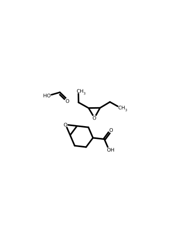 CCC1OC1CC.O=C(O)C1CCC2OC2C1.O=CO